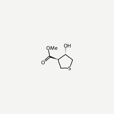 COC(=O)[C@@H]1CSC[C@H]1O